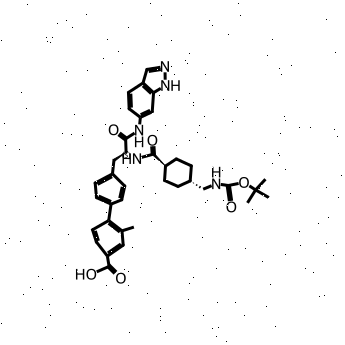 Cc1cc(C(=O)O)ccc1-c1ccc(C[C@H](NC(=O)[C@H]2CC[C@H](CNC(=O)OC(C)(C)C)CC2)C(=O)Nc2ccc3cn[nH]c3c2)cc1